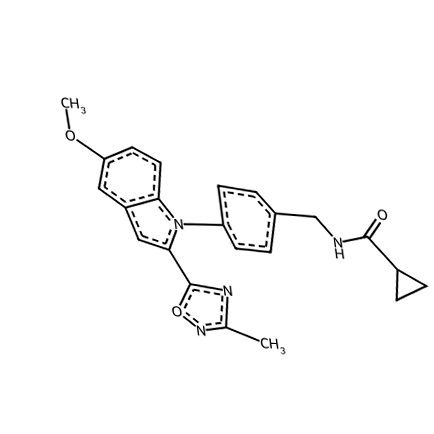 COc1ccc2c(c1)cc(-c1nc(C)no1)n2-c1ccc(CNC(=O)C2CC2)cc1